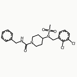 CS(=O)(=O)N(Cc1cccc(Cl)c1Cl)C1CCN(C(=O)NCc2ccccc2)CC1